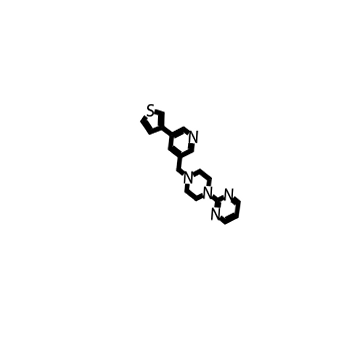 c1cnc(N2CCN(Cc3cncc(-c4ccsc4)c3)CC2)nc1